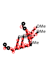 COCCOCCOCC(=O)OCC(COCC(COCC(C)(COC)COCC(O)COCC(COCC(COC(=O)COc1ccc(C(=O)c2ccccc2)cc1)OC(=O)COCCOCCOC)OC(=O)COCCOCCOC)OC(=O)COCCOCCOC)OC(=O)COc1ccc(C(=O)c2ccccc2)cc1